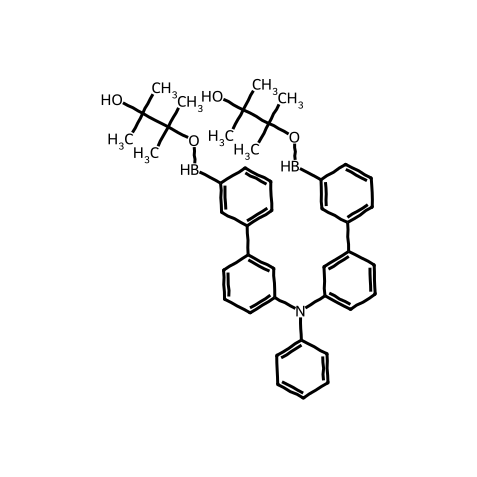 CC(C)(O)C(C)(C)OBc1cccc(-c2cccc(N(c3ccccc3)c3cccc(-c4cccc(BOC(C)(C)C(C)(C)O)c4)c3)c2)c1